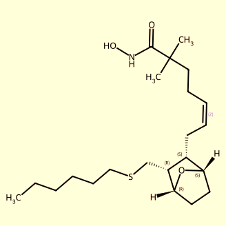 CCCCCCSC[C@@H]1[C@H](C/C=C\CCC(C)(C)C(=O)NO)[C@@H]2CC[C@H]1O2